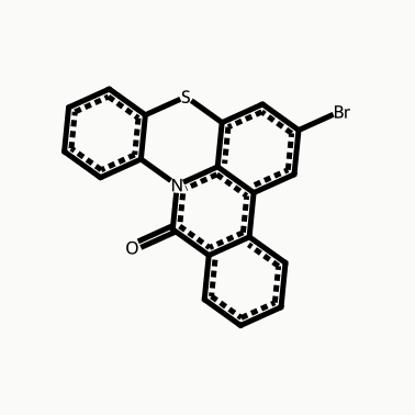 O=c1c2ccccc2c2cc(Br)cc3c2n1-c1ccccc1S3